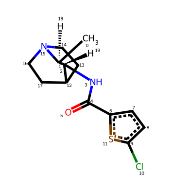 C[C@H]1[C@H](NC(=O)c2ccc(Cl)s2)C2CCN1CC2